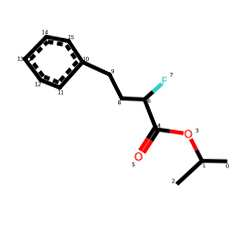 CC(C)OC(=O)C(F)CCc1ccccc1